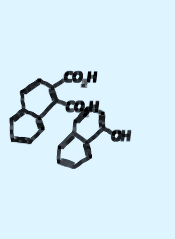 O=C(O)c1ccc2ccccc2c1C(=O)O.Oc1cccc2ccccc12